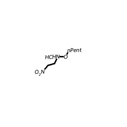 CCCCCONCC[N+](=O)[O-].Cl